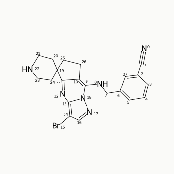 N#Cc1cccc(CNc2c3c(nc4c(Br)cnn24)C2(CCNCC2)CC3)c1